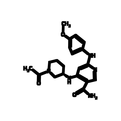 COc1ccc(Nc2cc(N[C@@H]3CCCN(C(C)=O)C3)c(C(N)=O)cn2)cc1